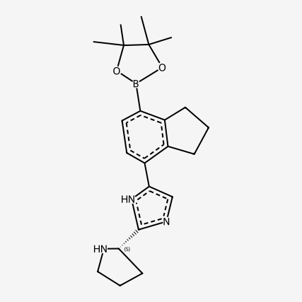 CC1(C)OB(c2ccc(-c3cnc([C@@H]4CCCN4)[nH]3)c3c2CCC3)OC1(C)C